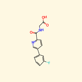 O=C(O)CNC(=O)c1ccc(-c2cccc(F)c2)cn1